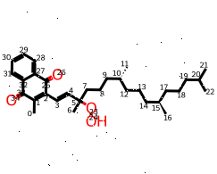 CC1=C(/C=C/C(C)(CCC[C@H](C)CCC[C@H](C)CCCC(C)C)OO)C(=O)c2ccccc2C1=O